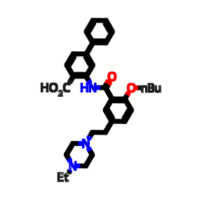 CCCCOc1ccc(CCN2CCN(CC)CC2)cc1C(=O)Nc1cc(-c2ccccc2)ccc1C(=O)O